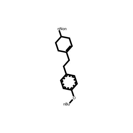 CCCCCCCCCC1CC=C(CCc2ccc(OCCCC)cc2)CC1